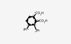 CC(C)c1ccc(C(=O)O)c(C(=O)O)c1C(C)C